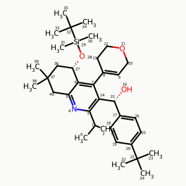 CC(C)c1nc2c(c(C3=CCOCC3)c1[C@H](O)c1ccc(C(C)(C)C)cc1)[C@@H](O[Si](C)(C)C(C)(C)C)CC(C)(C)C2